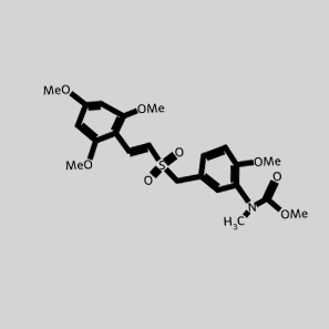 COC(=O)N(C)c1cc(CS(=O)(=O)/C=C/c2c(OC)cc(OC)cc2OC)ccc1OC